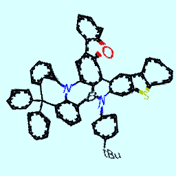 CC(C)(C)c1ccc(N2B3c4cccc5c4N(c4ccccc4C5(c4ccccc4)c4ccccc4)c4cc5c(oc6ccccc65)c(c43)-c3cc4c(cc32)sc2ccccc24)cc1